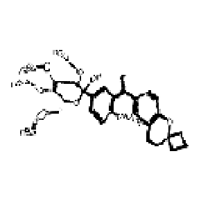 CCCCOC[C@H]1OC(O)(c2ccc(OC)c(C(C)c3ccc4c(c3)CCC3(CCC3)O4)c2)[C@H](OCCCC)[C@@H](OCCCC)[C@@H]1OCCCC